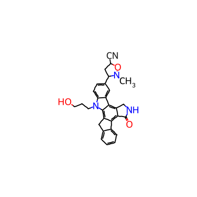 CN1OC(C#N)CC1c1ccc2c(c1)c1c3c(c4c(c1n2CCCO)Cc1ccccc1-4)C(=O)NC3